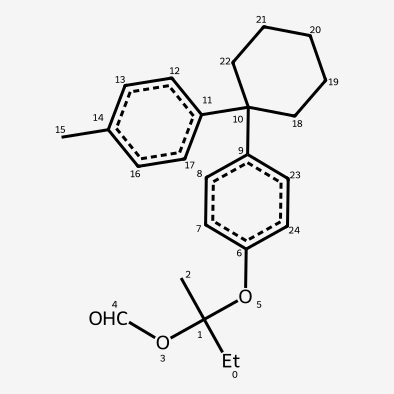 CCC(C)(OC=O)Oc1ccc(C2(c3ccc(C)cc3)CCCCC2)cc1